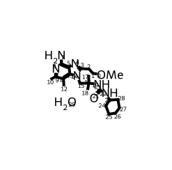 COCCc1nc2c(N)nc(C)c(C)c2n1CC(C)(C)NC(=O)NC1CCCCC1.O